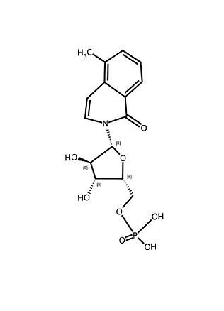 Cc1cccc2c(=O)n([C@@H]3O[C@H](COP(=O)(O)O)[C@H](O)[C@H]3O)ccc12